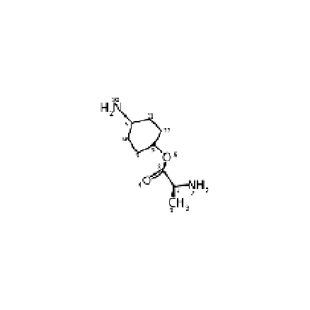 C[C@H](N)C(=O)OC1CCC(N)CC1